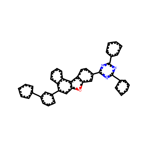 c1ccc(-c2cccc(-c3cc4oc5cc(-c6nc(-c7ccccc7)nc(-c7ccccc7)n6)ccc5c4c4ccccc34)c2)cc1